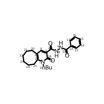 CCCCn1c2c(cc(C(=O)NNC(=O)c3ccccc3)c1=O)CCCCCC2